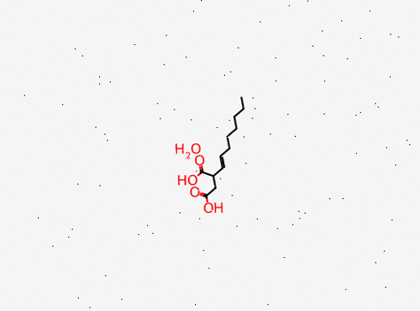 CCCCCCC=CC(CC(=O)O)C(=O)O.O